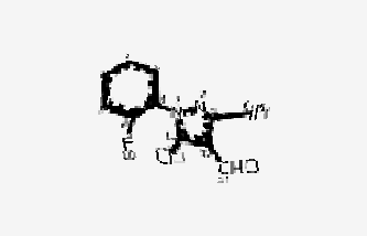 CC(C)c1nn(-c2ccccc2F)c(Cl)c1C=O